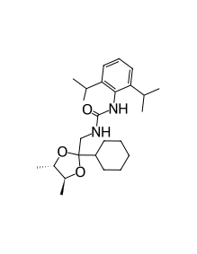 CC(C)c1cccc(C(C)C)c1NC(=O)NCC1(C2CCCCC2)O[C@@H](C)[C@H](C)O1